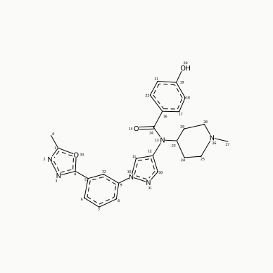 Cc1nnc(-c2cccc(-n3cc(N(C(=O)c4ccc(O)cc4)C4CCN(C)CC4)cn3)c2)o1